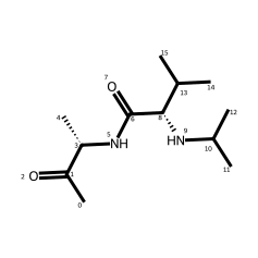 CC(=O)[C@H](C)NC(=O)[C@@H](NC(C)C)C(C)C